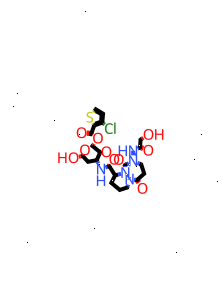 O=C(O)CC(NC(=O)C1CCCN2C(=O)CCN(NC(=O)CO)C(=O)N12)C(=O)COC(=O)c1sccc1Cl